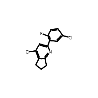 Fc1ccc(Cl)cc1-c1cc(Cl)c2c(n1)CCC2